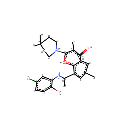 Cc1cc([C@@H](C)Nc2cc(Cl)ccc2Br)c2oc(N3CCC(C)(C)CC3)c(C)c(=O)c2c1